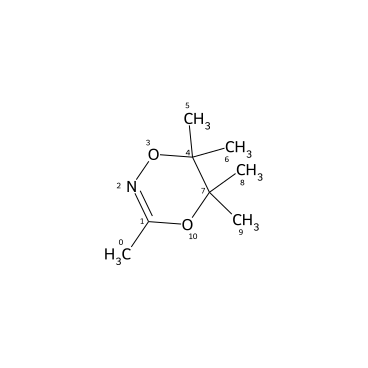 CC1=NOC(C)(C)C(C)(C)O1